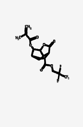 C=C(C)C(=O)OC1C2CC3C1OC(=O)C3C2C(=O)OCC(F)(F)C(F)(F)F